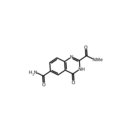 CNC(=O)c1nc2ccc(C(N)=O)cc2c(=O)[nH]1